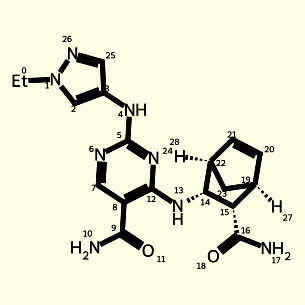 CCn1cc(Nc2ncc(C(N)=O)c(N[C@H]3[C@@H](C(N)=O)[C@@H]4C=C[C@H]3C4)n2)cn1